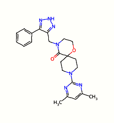 Cc1cc(C)nc(N2CCC3(CC2)OCCN(Cc2n[nH]nc2-c2ccccc2)C3=O)n1